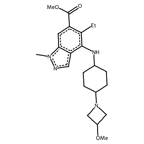 CCc1c(C(=O)OC)cc2c(cnn2C)c1NC1CCC(N2CC(OC)C2)CC1